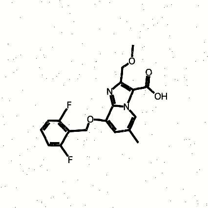 COCc1nc2c(OCc3c(F)cccc3F)cc(C)cn2c1C(=O)O